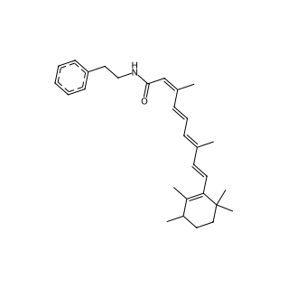 CC1=C(/C=C/C(C)=C/C=C/C(C)=C\C(=O)NCCc2ccccc2)C(C)(C)CCC1C